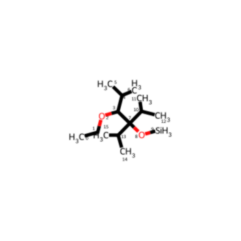 CCOC(C(C)C)C(O[SiH3])(C(C)C)C(C)C